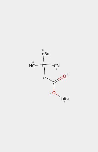 CCCCOC(=O)CC(C#N)(C#N)CCCC